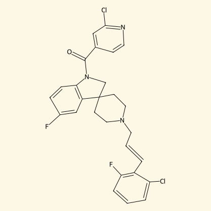 O=C(c1ccnc(Cl)c1)N1CC2(CCN(C/C=C/c3c(F)cccc3Cl)CC2)c2cc(F)ccc21